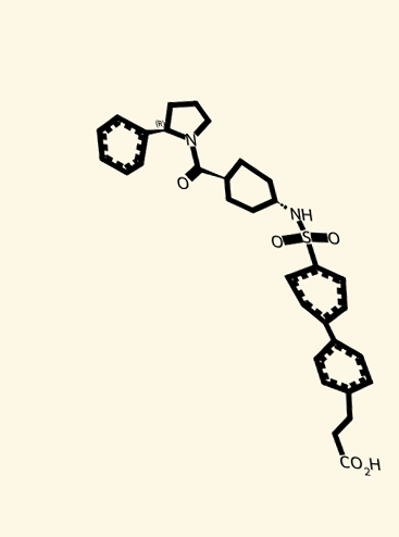 O=C(O)CCc1ccc(-c2ccc(S(=O)(=O)N[C@H]3CC[C@H](C(=O)N4CCC[C@@H]4c4ccccc4)CC3)cc2)cc1